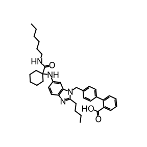 CCCCCCNC(=O)C1(Nc2ccc3nc(CCCC)n(Cc4ccc(-c5ccccc5C(=O)O)cc4)c3c2)CCCCC1